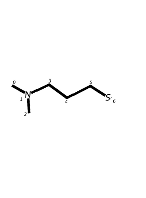 CN(C)CCC[S]